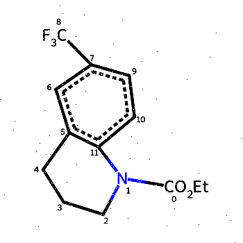 CCOC(=O)N1CCCc2cc(C(F)(F)F)ccc21